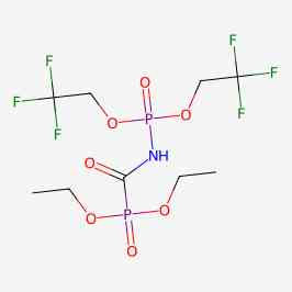 CCOP(=O)(OCC)C(=O)NP(=O)(OCC(F)(F)F)OCC(F)(F)F